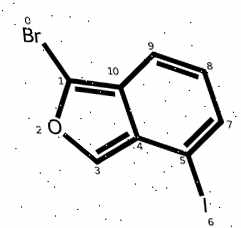 Brc1occ2c(I)cccc12